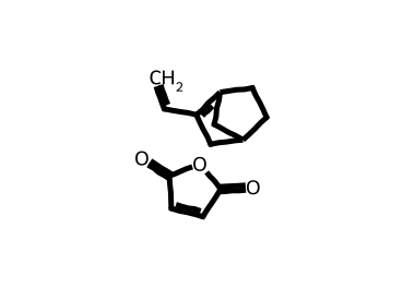 C=CC1=C2CCC(C1)C2.O=C1C=CC(=O)O1